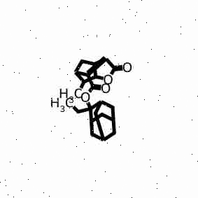 CCC1(OC(=O)C2=C3C(=O)OC4C3CC2C4C)C2CC3CC(C2)CC1C3